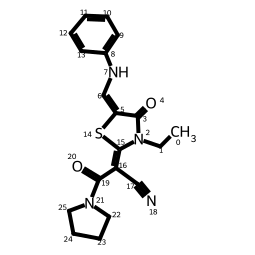 CCn1c(=O)c(=CNc2ccccc2)s/c1=C(/C#N)C(=O)N1CCCC1